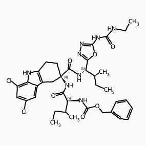 CCNC(=O)Nc1nnc([C@@H](NC(=O)[C@@]2(NC(=O)[C@@H](NC(=O)OCc3ccccc3)C(C)CC)CCc3[nH]c4c(Cl)cc(Cl)cc4c3C2)C(C)CC)o1